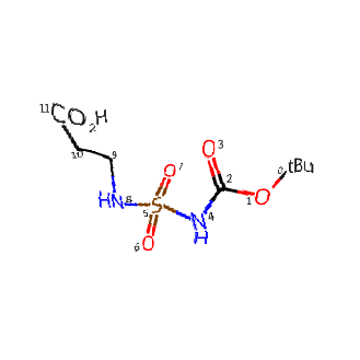 CC(C)(C)OC(=O)NS(=O)(=O)NCCC(=O)O